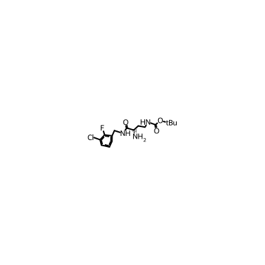 CC(C)(C)OC(=O)NCC[C@H](N)C(=O)NCc1cccc(Cl)c1F